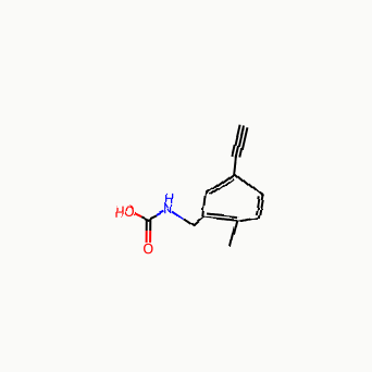 C#Cc1ccc(C)c(CNC(=O)O)c1